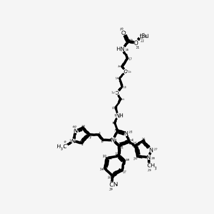 Cn1cc(CCn2c(CNCCOCCOCCNC(=O)OC(C)(C)C)nc(-c3cnn(C)c3)c2-c2ccc(C#N)cc2)cn1